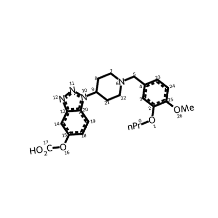 CCCOc1cc(CN2CCC(n3nnc4cc(OC(=O)O)ccc43)CC2)ccc1OC